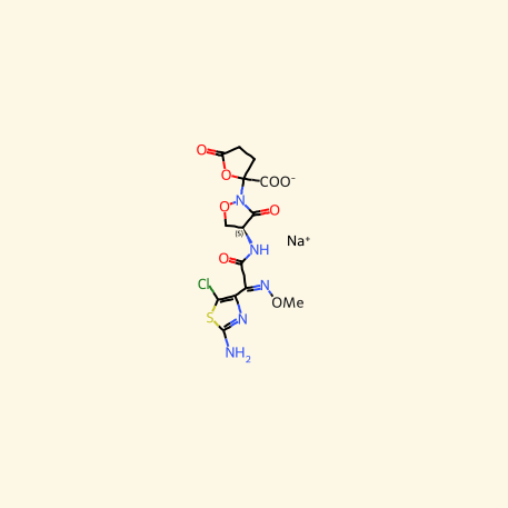 CON=C(C(=O)N[C@H]1CON(C2(C(=O)[O-])CCC(=O)O2)C1=O)c1nc(N)sc1Cl.[Na+]